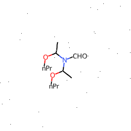 CCCOC(C)N([C]=O)C(C)OCCC